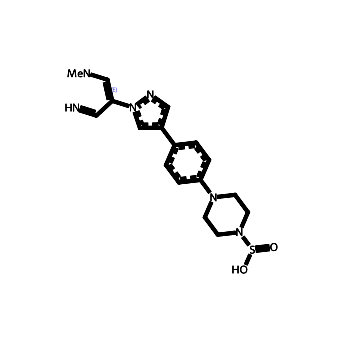 CN/C=C(\C=N)n1cc(-c2ccc(N3CCN(S(=O)O)CC3)cc2)cn1